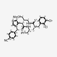 COCCCNC(=S)N(Cc1cccc(Cl)c1Cl)C[C@H](CC(C)C)NC(=O)Cc1cncn1Cc1ccc(C#N)cc1